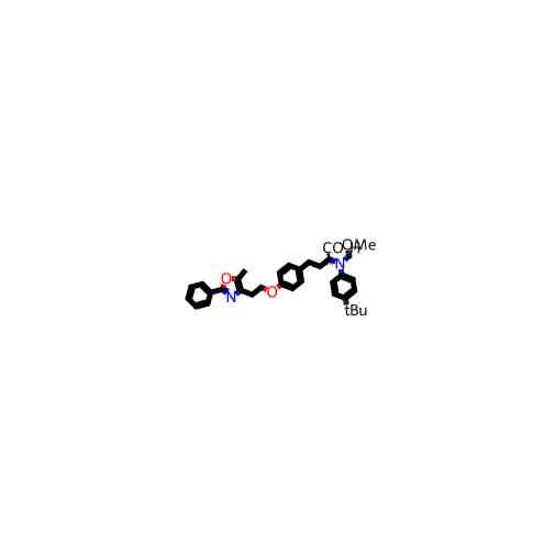 COCN(c1ccc(C(C)(C)C)cc1)[C@@H](CCc1ccc(OCCc2nc(-c3ccccc3)oc2C)cc1)C(=O)O